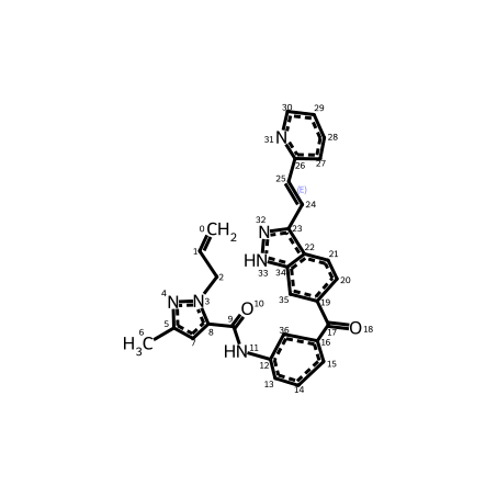 C=CCn1nc(C)cc1C(=O)Nc1cccc(C(=O)c2ccc3c(/C=C/c4ccccn4)n[nH]c3c2)c1